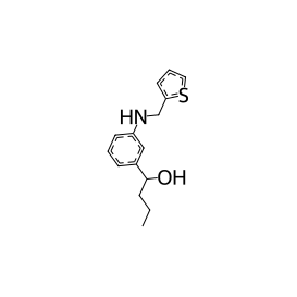 CCCC(O)c1cccc(NCc2cccs2)c1